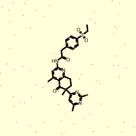 CCS(=O)(=O)c1ccc(CC(=O)Nc2cc(C)c3c(n2)CCC(C)(c2cc(C)nc(C)n2)C3=O)cc1